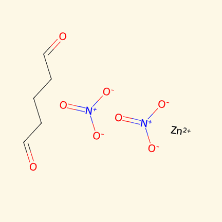 O=CCCCC=O.O=[N+]([O-])[O-].O=[N+]([O-])[O-].[Zn+2]